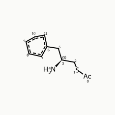 CC(=O)SC[C@@H](N)Cc1ccccc1